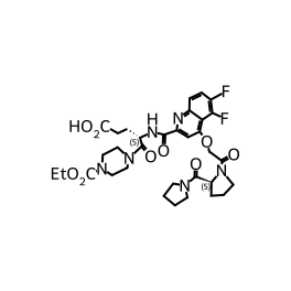 CCOC(=O)N1CCN(C(=O)[C@H](CCC(=O)O)NC(=O)c2cc(OCC(=O)N3CCC[C@H]3C(=O)N3CCCC3)c3c(F)c(F)ccc3n2)CC1